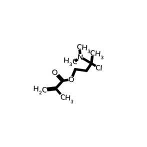 C=C(C)C(=O)OCCC(C)(Cl)N(C)C